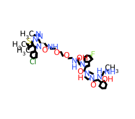 CNCC(O)N[C@H](C(=O)N1CCN(C(O)C2=CC3C=C(F)C=CC3N2CC(O)NCCOCCOCCNC(=O)C[C@@H]2N=C(C3=CCC(Cl)C=C3)c3c(sc(C)c3C)-n3c(C)nnc32)CC1)C1CCCCC1